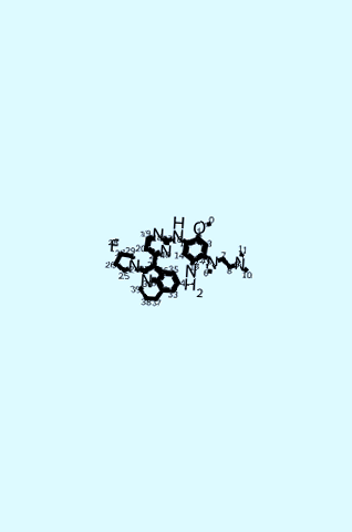 COc1cc(N(C)CCN(C)C)c(N)cc1Nc1nccc(-c2c(N3CCC(F)C3)n3c4c(cccc24)CCC3)n1